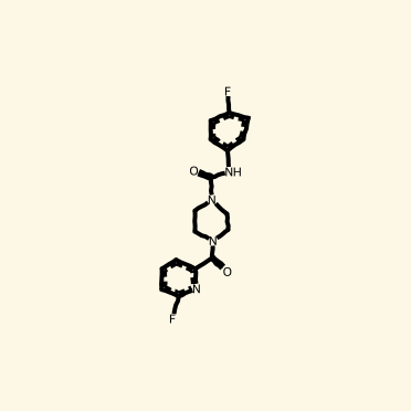 O=C(Nc1ccc(F)cc1)N1CCN(C(=O)c2cccc(F)n2)CC1